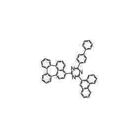 c1ccc(-c2ccc(-c3nc(-c4ccc5c6c(cccc46)-c4ccccc4-c4ccccc4-5)nc(-c4cc5ccccc5c5ccccc45)n3)cc2)cc1